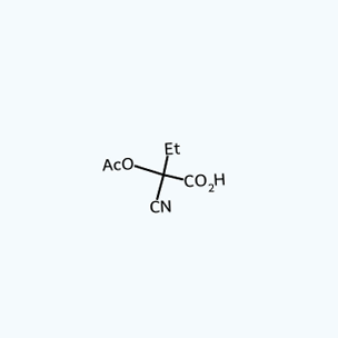 CCC(C#N)(OC(C)=O)C(=O)O